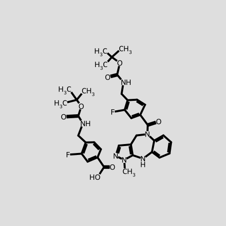 CC(C)(C)OC(=O)NCc1ccc(C(=O)O)cc1F.Cn1ncc2c1Nc1ccccc1N(C(=O)c1ccc(CNC(=O)OC(C)(C)C)c(F)c1)C2